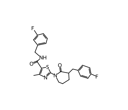 Cc1nc(N2CCCC(Cc3ccc(F)cc3)C2=O)sc1C(=O)NCc1cccc(F)c1